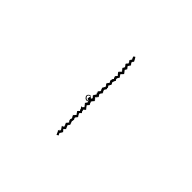 CCCCCCCCCCCCCCCCCCCCCCC(=O)CCCCCCCCCCCCCCCCC